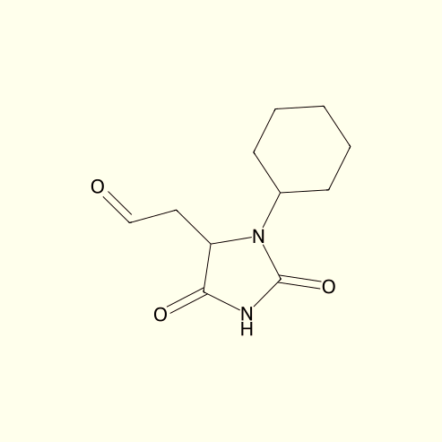 O=CCC1C(=O)NC(=O)N1C1CCCCC1